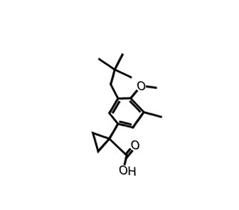 COc1c(C)cc(C2(C(=O)O)CC2)cc1CC(C)(C)C